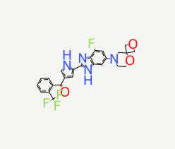 O=C(c1c[nH]c(-c2nc3c(F)cc(N4CCOC5(COC5)C4)cc3[nH]2)c1)c1ccccc1C(F)(F)F